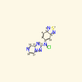 ClN(c1ccc2nsnc2c1)c1nc2cnccn2n1